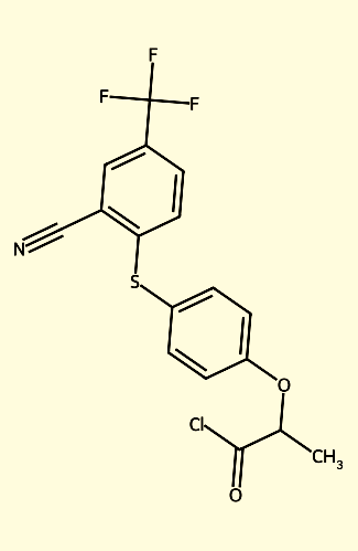 CC(Oc1ccc(Sc2ccc(C(F)(F)F)cc2C#N)cc1)C(=O)Cl